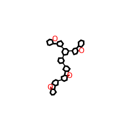 c1cc(-c2cc(-c3ccc4oc5ccccc5c4c3)cc(-c3ccc4oc5ccccc5c4c3)c2)cc(-c2ccc3oc4ccc(-c5ccc6oc7ccccc7c6c5)cc4c3c2)c1